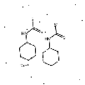 S=C([S-])NC1CCCCC1.S=C([S-])NC1CCCCC1.[Te+2]